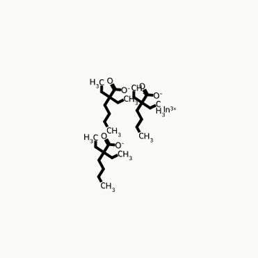 CCCCC(CC)(CC)C(=O)[O-].CCCCC(CC)(CC)C(=O)[O-].CCCCC(CC)(CC)C(=O)[O-].[In+3]